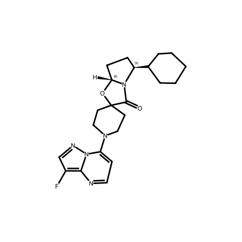 O=C1N2[C@@H](CC[C@H]2C2CCCCC2)OC12CCN(c1ccnc3c(F)cnn13)CC2